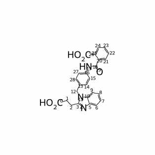 O=C(O)CCc1nc2ccccc2n1Cc1ccc(NC(=O)c2ccccc2C(=O)O)cc1